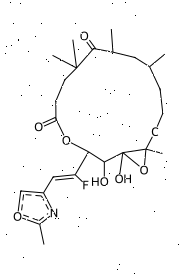 Cc1nc(C=C(F)C2OC(=O)CCC(C)(C)C(=O)C(C)CC(C)CCCC3(C)OC3(O)C2O)co1